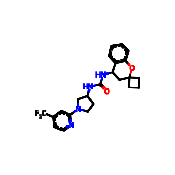 O=C(N[C@H]1CCN(c2cc(C(F)(F)F)ccn2)C1)N[C@@H]1CC2(CCC2)Oc2ccccc21